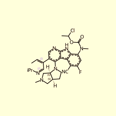 C/C=C(\C=N/C(C)C)c1cnc2[nH]c3c(N(C)C(=O)OC(C)Cl)cc(F)c(C#N)c3c2c1N1CC[C@H]2CN(C)C[C@H]21